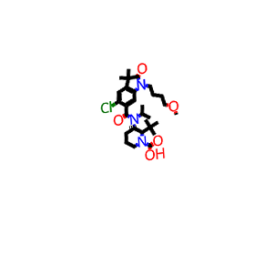 COCCCCN1C(=O)C(C)(C)c2cc(Cl)c(C(=O)N(C(C)C)[C@@H]3CCCN(C(=O)O)C3C(C)(C)C)cc21